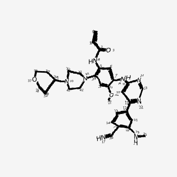 C=CC(=O)Nc1cc(Nc2cc(-c3ccc(C=N)c(NC)c3)ncn2)c(OC)cc1N1CCN(C2CCOCC2)CC1